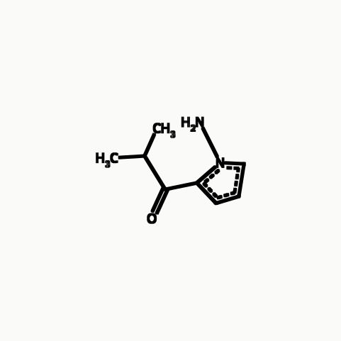 CC(C)C(=O)c1cccn1N